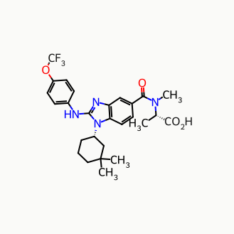 C[C@@H](C(=O)O)N(C)C(=O)c1ccc2c(c1)nc(Nc1ccc(OC(F)(F)F)cc1)n2[C@H]1CCCC(C)(C)C1